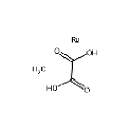 O.O=C(O)C(=O)O.[Ru]